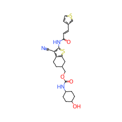 N#Cc1c(NC(=O)C=Cc2ccsc2)sc2c1CCC(COC(=O)NC1CCC(O)CC1)C2